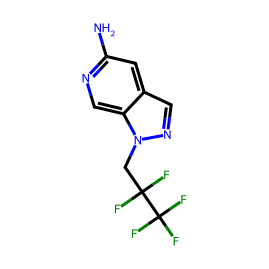 Nc1cc2cnn(CC(F)(F)C(F)(F)F)c2cn1